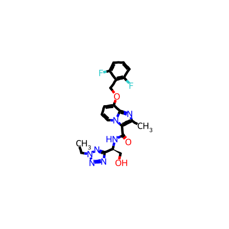 CCn1nnc([C@H](CO)NC(=O)c2c(C)nc3c(OCc4c(F)cccc4F)cccn23)n1